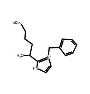 CCCCCCCCCCCCC[C@H](C)c1[nH]cc[n+]1Cc1ccccc1